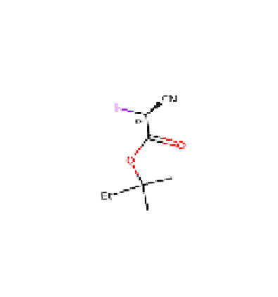 CCC(C)(C)OC(=O)[C@@H](I)C#N